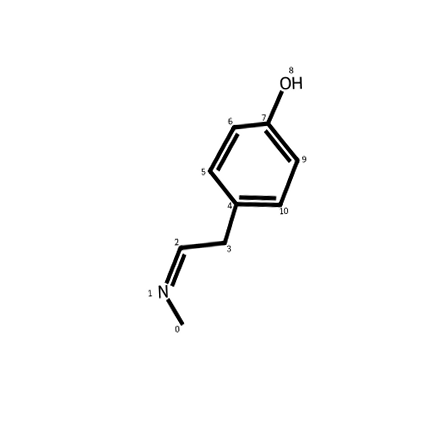 C/N=C\Cc1ccc(O)cc1